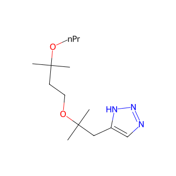 CCCOC(C)(C)CCOC(C)(C)Cc1cnn[nH]1